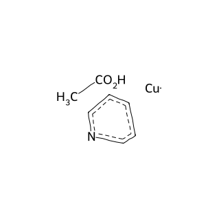 CC(=O)O.[Cu].c1ccncc1